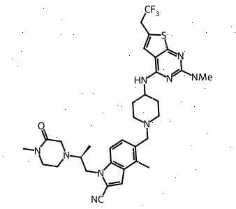 CNc1nc(NC2CCN(Cc3ccc4c(cc(C#N)n4C[C@H](C)N4CCN(C)C(=O)C4)c3C)CC2)c2cc(CC(F)(F)F)sc2n1